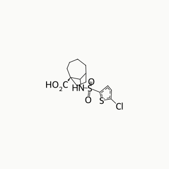 O=C(O)[C@]12CCCCC(CC1)C2NS(=O)(=O)c1ccc(Cl)s1